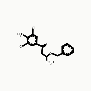 Cc1c(Cl)cc(C(=O)CC(SCc2ccccc2)C(=O)O)cc1Cl